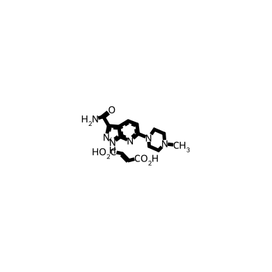 CN1CCN(c2ccc3c(C(N)=O)n[nH]c3n2)CC1.O=C(O)C=CC(=O)O